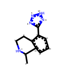 CC1NCCc2c(-c3nn[nH]n3)cccc21